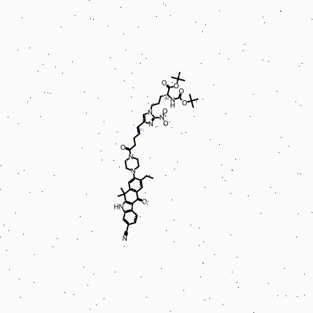 CCc1cc2c(cc1N1CCN(C(=O)CC/C=C/c3cn(CCC[C@H](NC(=O)OC(C)(C)C)C(=O)OC(C)(C)C)c([N+](=O)[O-])n3)CC1)C(C)(C)c1[nH]c3cc(C#N)ccc3c1C2=O